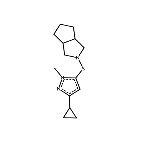 Cn1nc(C2CC2)cc1SN1CC2CCCC2C1